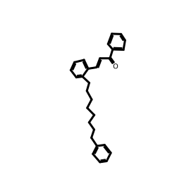 O=C(C=Cc1ccccc1CCCCCCCCc1ccccc1)c1ccccc1